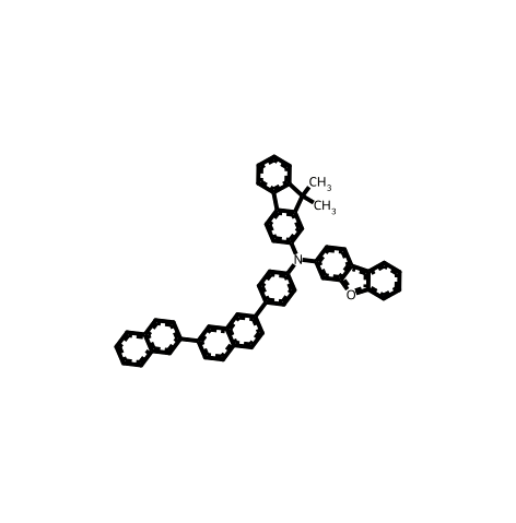 CC1(C)c2ccccc2-c2ccc(N(c3ccc(-c4ccc5ccc(-c6ccc7ccccc7c6)cc5c4)cc3)c3ccc4c(c3)oc3ccccc34)cc21